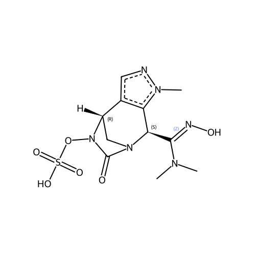 CN(C)/C(=N\O)[C@@H]1c2c(cnn2C)[C@@H]2CN1C(=O)N2OS(=O)(=O)O